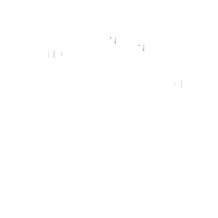 COc1c(C)nnc(Cl)c1-c1ccccc1